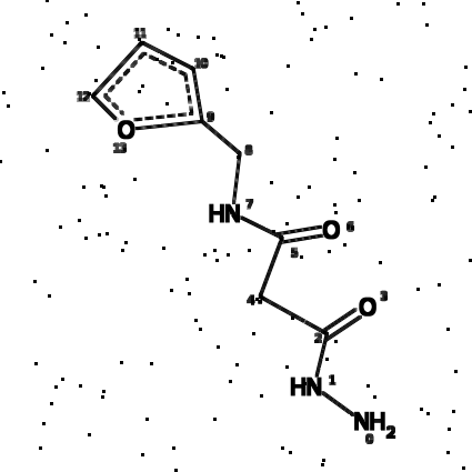 NNC(=O)[CH]C(=O)NCc1ccco1